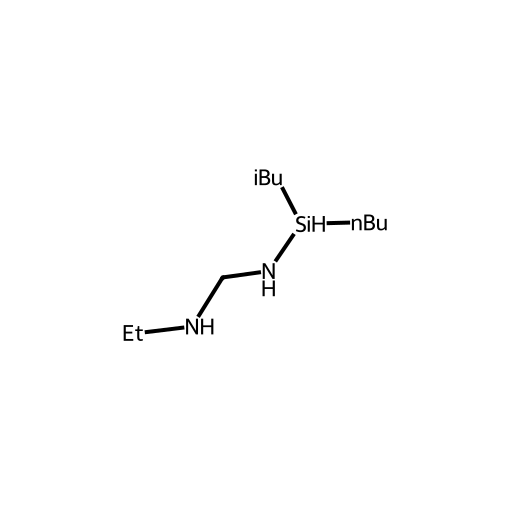 CCCC[SiH](NCNCC)C(C)CC